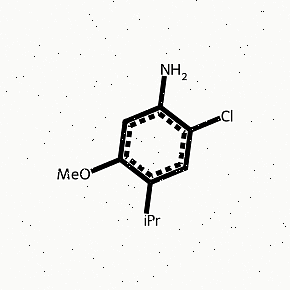 COc1cc(N)c(Cl)cc1C(C)C